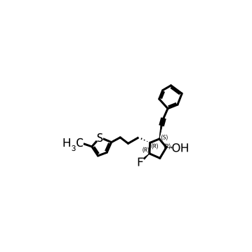 Cc1ccc(CCC[C@@H]2[C@@H](C#Cc3ccccc3)[C@H](O)C[C@H]2F)s1